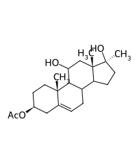 CC(=O)O[C@H]1CC[C@@]2(C)C(=CCC3C2C(O)C[C@@]2(C)C3CC[C@]2(C)O)C1